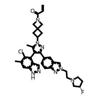 C=CC(=O)N1CC2(CC(n3nc(-c4ccc5nn(CCN6CC[C@H](F)C6)cc5c4)c(-c4c(Cl)c(C)cc5[nH]ncc45)c3C)C2)C1